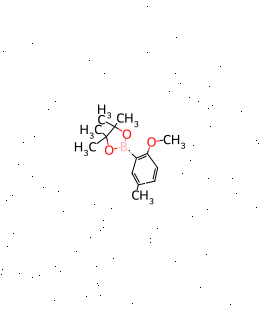 COc1ccc(C)cc1B1OC(C)(C)C(C)(C)O1